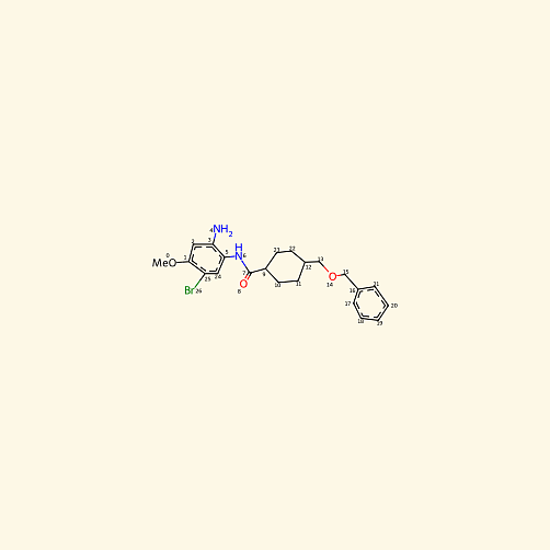 COc1cc(N)c(NC(=O)C2CCC(COCc3ccccc3)CC2)cc1Br